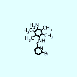 Cc1c(C)c(NCc2cccc(Br)n2)c(C)c(C)c1N